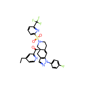 CCc1ccnc(C(=O)[C@]23Cc4cnn(-c5ccc(F)cc5)c4C=C2CCN(S(=O)(=O)c2cccc(C(F)(F)F)n2)C3)c1